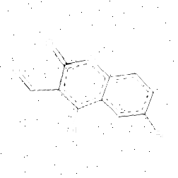 O=Cc1c(O)c2cc(Br)ccc2oc1=O